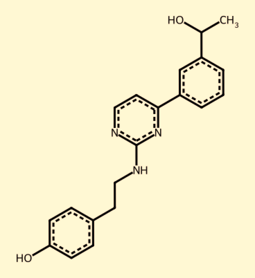 CC(O)c1cccc(-c2ccnc(NCCc3ccc(O)cc3)n2)c1